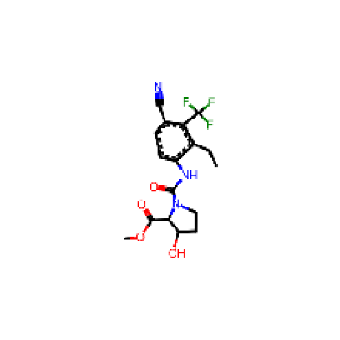 CCc1c(NC(=O)N2CCC(O)C2C(=O)OC)ccc(C#N)c1C(F)(F)F